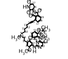 COc1cc(CCN(C)CCCCCC#Cc2cccc3c2C(=O)N(C2CCC(=O)NC2=O)C3=O)c(C)cc1Nc1ncc(Cl)c(Nc2ccccc2S(=O)(=O)C(C)C)n1